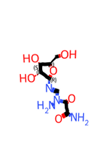 NC(=O)C(=O)N(N)C=N[C@@H]1O[C@H](CO)[C@@H](O)[C@H]1O